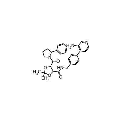 CC1(C)OC(C(=O)NCc2ccc(-c3ccncc3N)cc2)[C@H](C(=O)N2CCCC2c2ccccc2)O1